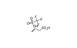 C=CCS(=O)(=O)O.O=S(=O)(O)C(F)(F)F